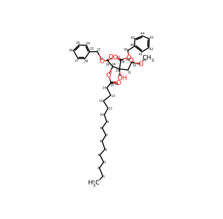 CCCCCCCCCCCCCCCC(=O)OC(C(=O)OCc1ccccc1)C(O)(CC(=O)OC)C(=O)OCc1ccccc1